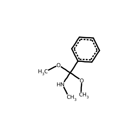 CNC(OC)(OC)c1ccccc1